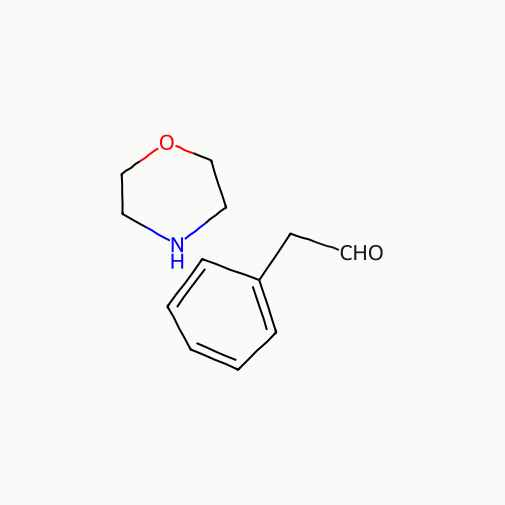 C1COCCN1.O=CCc1ccccc1